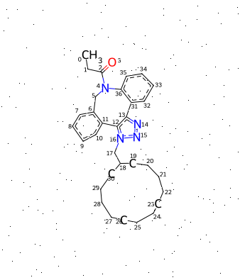 CCC(=O)N1Cc2ccccc2-c2c(nnn2CC2CCCCCCCCCCCC2)-c2ccccc21